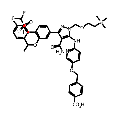 CC(Oc1cc(-c2nn(COCC[Si](C)(C)C)c(Nc3ccc(OCc4ccc(C(=O)O)cc4)cn3)c2C(N)=O)ccc1NS(=O)(=O)C(F)F)c1ccc(F)cc1